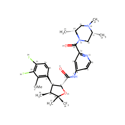 COc1c([C@H]2[C@H](C(=O)Nc3ccnc(C(=O)N4C[C@@H](C)N(C)C[C@H]4C)c3)O[C@@](C)(C(F)(F)F)[C@H]2C)ccc(F)c1F